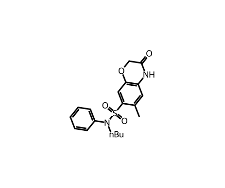 CCCCN(c1ccccc1)S(=O)(=O)c1cc2c(cc1C)NC(=O)CO2